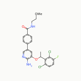 COCCNC(=O)c1ccc(-c2cnc(N)c(OC(C)c3c(Cl)ccc(F)c3Cl)c2)cc1